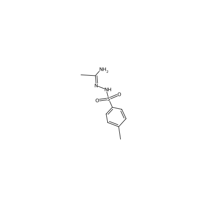 CC(N)=NNS(=O)(=O)c1ccc(C)cc1